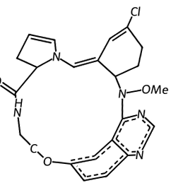 CON1c2ncnc3ccc(cc23)OCCNC(=O)C2CC=CN2/C=C2\C=C(Cl)CCC21